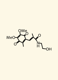 COC1=C(OC)C(=O)C(/C=C(\C)C(=O)NCCO)=C(C)C1=O